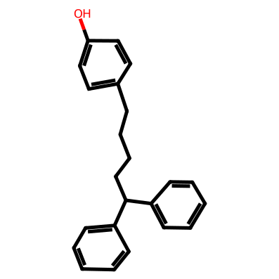 Oc1ccc(CCCCC(c2ccccc2)c2ccccc2)cc1